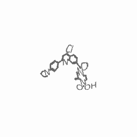 CC1CN(C(=O)c2ccc3c(Cl)cc(-c4ccc(N5CCCC5)cc4)nc3c2)CCN1C(=O)O